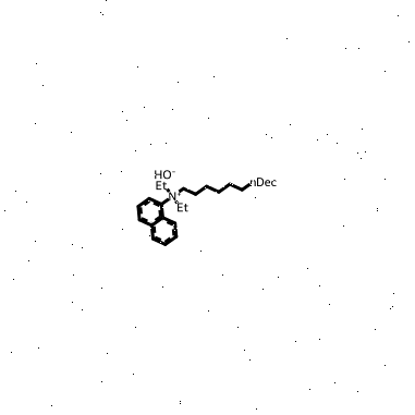 CCCCCCCCCCCCCCCC[N+](CC)(CC)c1cccc2ccccc12.[OH-]